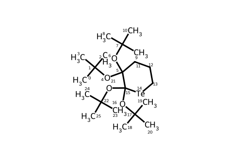 CC(C)(C)OC1(OC(C)(C)C)CCC[Te]C1(OC(C)(C)C)OC(C)(C)C